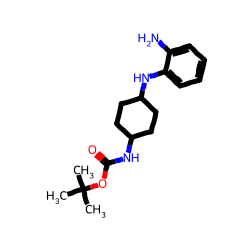 CC(C)(C)OC(=O)NC1CCC(Nc2ccccc2N)CC1